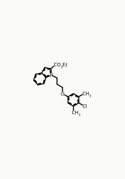 CCOC(=O)c1cc2ccccc2n1CCCOc1cc(C)c(Cl)c(C)c1